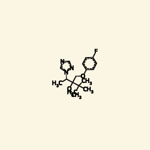 COC(COc1ccc(F)cc1)(C(C)n1cncn1)C(C)(C)C